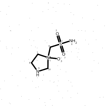 NS(=O)(=O)C[N+]1([O-])CCNC1